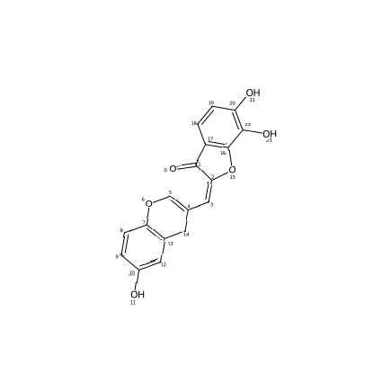 O=C1/C(=C\C2=COc3ccc(O)cc3C2)Oc2c1ccc(O)c2O